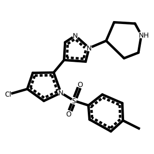 Cc1ccc(S(=O)(=O)n2cc(Cl)cc2-c2cnn(C3CCNCC3)c2)cc1